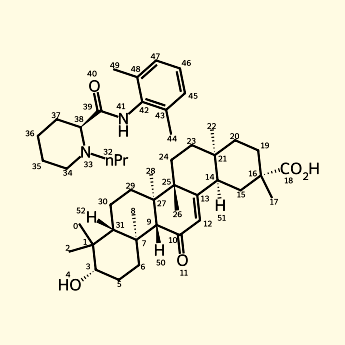 CC1(C)[C@@H](O)CC[C@]2(C)[C@H]3C(=O)C=C4[C@@H]5C[C@@](C)(C(=O)O)CC[C@]5(C)CC[C@@]4(C)[C@]3(C)CC[C@@H]12.CCCN1CCCC[C@H]1C(=O)Nc1c(C)cccc1C